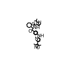 Cc1noc(C)c1-c1ccc(Nc2ccc(C(=O)[C@@H](NC(=O)c3ccnn3C(C)C)C3CCCCCC3)cc2)nc1